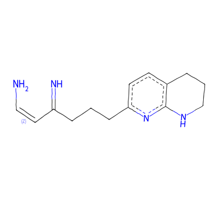 N=C(/C=C\N)CCCc1ccc2c(n1)NCCC2